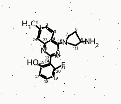 Cc1ccc2c(N3CCC(N)C3)nc(-c3c(O)cccc3F)nc2c1